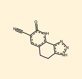 N#Cc1cc2c([nH]c1=O)-c1nn[nH]c1CC2